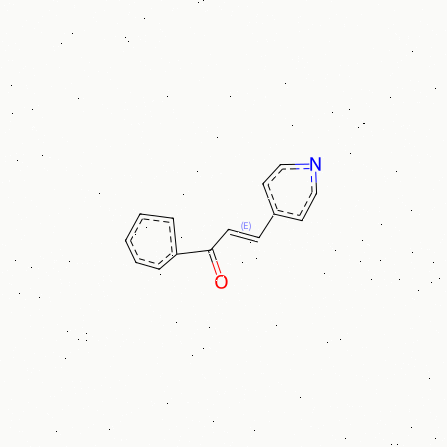 O=C(/C=C/c1ccncc1)c1ccccc1